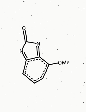 COc1cccc2c1=NC(=O)N=2